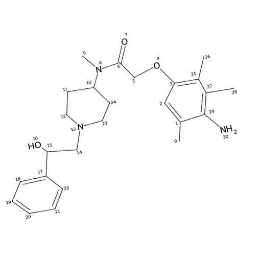 Cc1cc(OCC(=O)N(C)C2CCN(CC(O)c3ccccc3)CC2)c(C)c(C)c1N